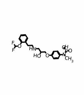 CN(c1ccc(OCC(O)CNCCc2ccccc2OC(F)F)cc1)[SH](=O)=O